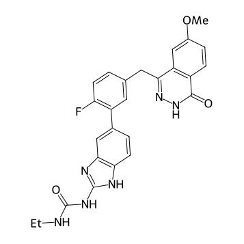 CCNC(=O)Nc1nc2cc(-c3cc(Cc4n[nH]c(=O)c5ccc(OC)cc45)ccc3F)ccc2[nH]1